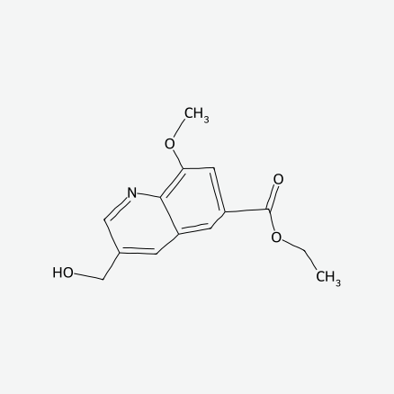 CCOC(=O)c1cc(OC)c2ncc(CO)cc2c1